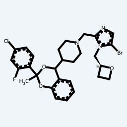 CC1(c2ccc(Cl)cc2F)Oc2ccccc2C(C2CCN(Cc3ncc(Br)n3C[C@@H]3CCO3)CC2)O1